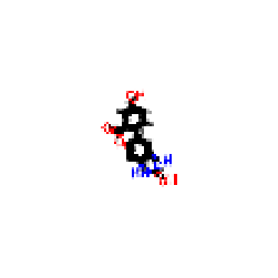 O=c1oc2cc3c(cc2c2ccc(O)cc12)NC(O)N3